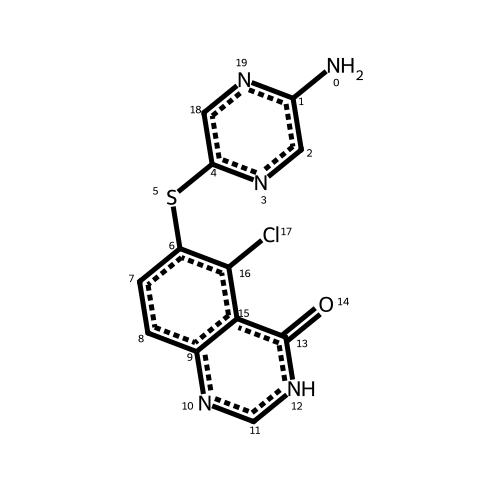 Nc1cnc(Sc2ccc3nc[nH]c(=O)c3c2Cl)cn1